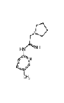 Cc1ccc(NC(=N)CN2CCCC2)nc1